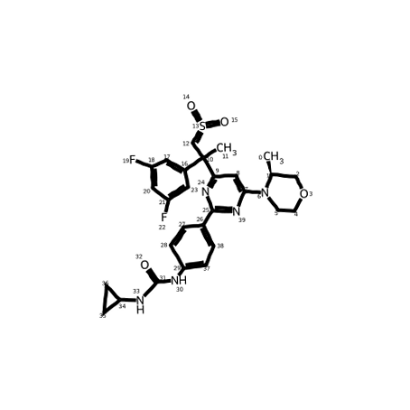 C[C@H]1COCCN1c1cc(C(C)(C=S(=O)=O)c2cc(F)cc(F)c2)nc(-c2ccc(NC(=O)NC3CC3)cc2)n1